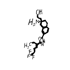 C=C/C(=C\C=C\C(F)(F)F)c1nnc(-c2ccc3c(c2)C[C@](N)(CCO)CC3)o1